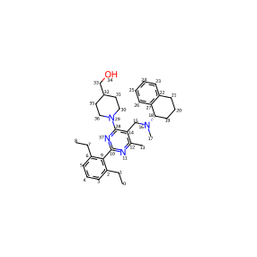 CCc1cccc(CC)c1-c1nc(C)c(CN(C)[C@H]2CCCc3ccccc32)c(N2CCC(CO)CC2)n1